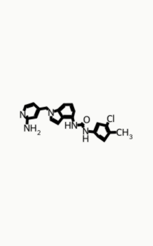 Cc1ccc(NC(=O)Nc2cccc3c2ccn3Cc2ccnc(N)c2)cc1Cl